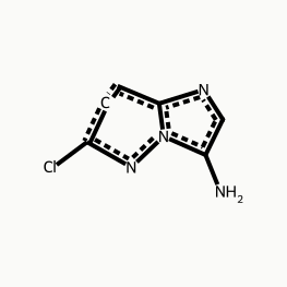 Nc1cnc2ccc(Cl)nn12